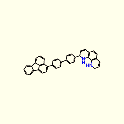 C1=Cc2ccc3c(c2NC1)NC(c1ccc(-c2ccc(-c4ccc5c6c(cccc46)-c4ccccc4-5)cc2)cc1)C=C3